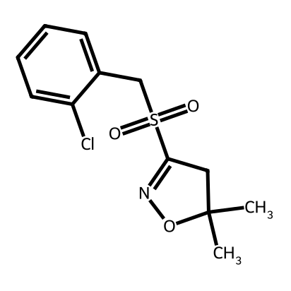 CC1(C)CC(S(=O)(=O)Cc2ccccc2Cl)=NO1